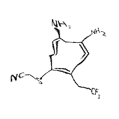 N#CSc1cc(N)c(N)cc1CC(F)(F)F